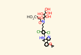 O=C(O)CCCC(=O)N(CCCCc1cc(Cl)c(CNC2(c3cnccc3-c3ccccc3OC3CC3)CC2)cc1Cl)C[C@H](O)[C@@H](O)[C@H](O)C(O)CO